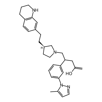 C=C(O)CC(CN1CC[C@@H](CCc2ccc3c(c2)NCCC3)C1)c1cccc(-n2nccc2C)c1